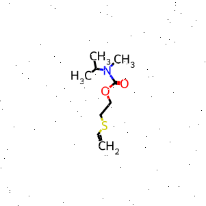 C=CSCCOC(=O)N(C)C(C)C